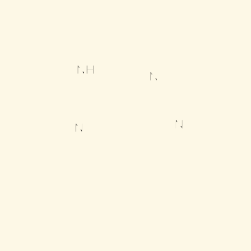 CNc1nc(C)cc2c1ncn2C